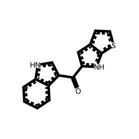 O=C(c1cc2ccsc2[nH]1)c1c[nH]c2ccccc12